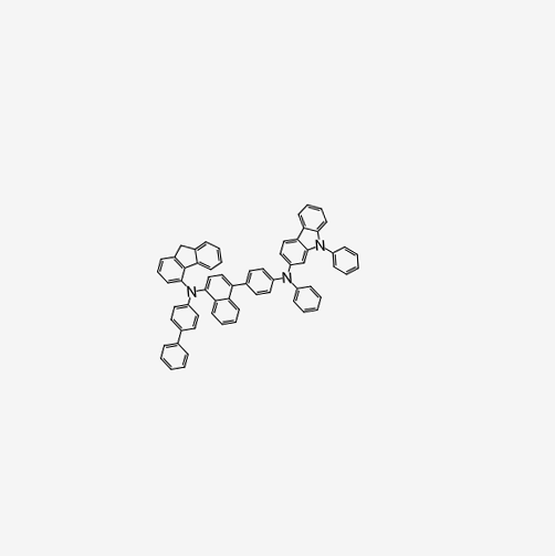 c1ccc(-c2ccc(N(c3cccc4c3-c3ccccc3C4)c3ccc(-c4ccc(N(c5ccccc5)c5ccc6c7ccccc7n(-c7ccccc7)c6c5)cc4)c4ccccc34)cc2)cc1